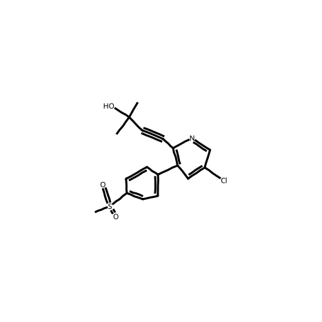 CC(C)(O)C#Cc1ncc(Cl)cc1-c1ccc(S(C)(=O)=O)cc1